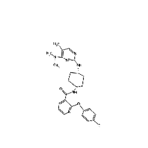 Cc1cnc(N[C@H]2CC[C@@H](NC(=O)c3cccnc3Oc3ccc(Cl)cc3)CC2)nc1N(C)C